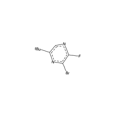 CC(C)(C)c1cnc(F)c(Br)n1